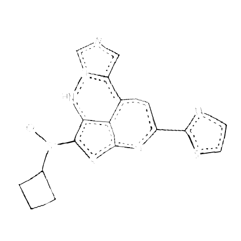 [O-][S+](c1sc2nc(-c3nccs3)cc3c2c1[nH]n1cncc31)C1CCC1